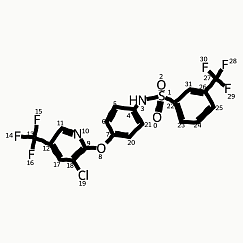 O=S(=O)(Nc1ccc(Oc2ncc(C(F)(F)F)cc2Cl)cc1)c1cccc(C(F)(F)F)c1